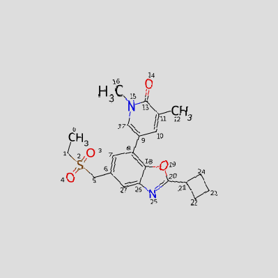 CCS(=O)(=O)Cc1cc(-c2cc(C)c(=O)n(C)c2)c2oc(C3CCC3)nc2c1